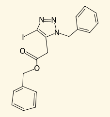 O=C(Cc1c(I)nnn1Cc1ccccc1)OCc1ccccc1